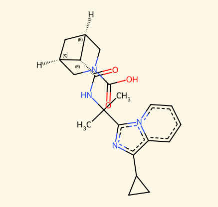 CC(C)(NC(=O)[C@@H]1[C@@H]2C[C@H]1CN(C(=O)O)C2)c1nc(C2CC2)c2ccccn12